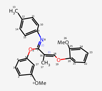 COc1cccc(OC(=N\c2ccc(C)cc2)/C(C)=C/Oc2ccccc2OC)c1